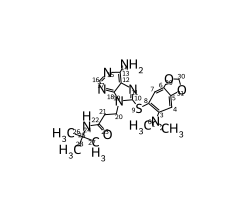 CN(C)c1cc2c(cc1Sc1nc3c(N)ncnc3n1CCC(=O)NC(C)(C)C)OCO2